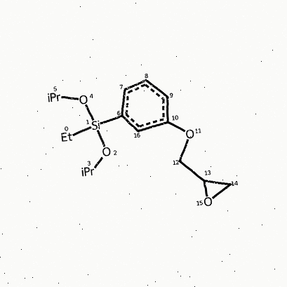 CC[Si](OC(C)C)(OC(C)C)c1cccc(OCC2CO2)c1